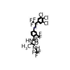 C[C@@H](NC(=O)c1ccc(/C=C/[C@@H](c2cc(Cl)c(Cl)c(Cl)c2)C(F)(F)F)cc1C(F)(F)F)C(=O)NCC(F)(F)F